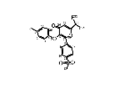 Cc1ccc(Oc2c(-c3ccc(S(C)(=O)=O)cc3)oc(C(F)F)cc2=O)cc1